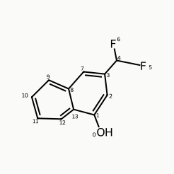 Oc1cc(C(F)F)cc2ccccc12